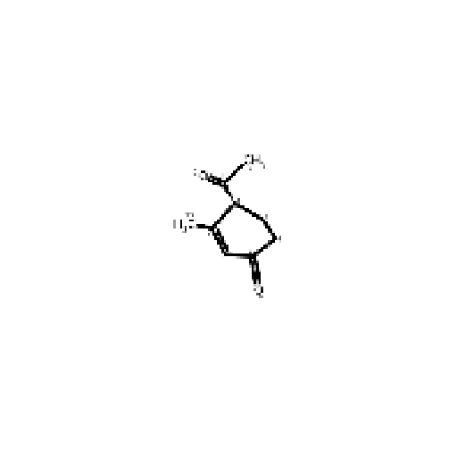 CC(=O)[C@H]1CCC(=O)C=C1C